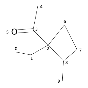 CCC1(C(C)=O)CCC1C